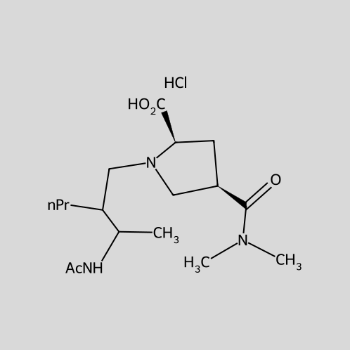 CCCC(CN1C[C@H](C(=O)N(C)C)C[C@@H]1C(=O)O)C(C)NC(C)=O.Cl